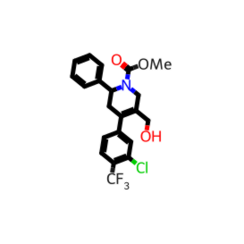 COC(=O)N1CC(CO)=C(c2ccc(C(F)(F)F)c(Cl)c2)CC1c1ccccc1